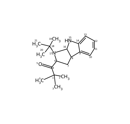 CC(C)(C)C(=O)C1CC2c3ccccc3NC2N1C(C)(C)C